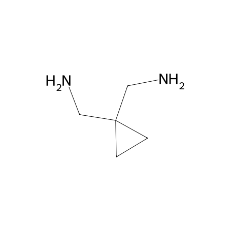 NCC1(CN)CC1